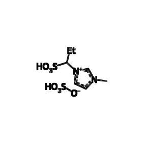 CCC([n+]1ccn(C)c1)S(=O)(=O)O.O=S(=O)([O-])O